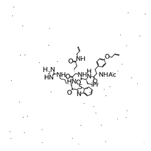 C=CCNC(=O)CC[C@H](NC(=O)[C@H](CC(C)C)NC(=O)[C@H](Cc1ccc(OCC=C)cc1)NC(C)=O)C(=O)N[C@@H](CCCNC(=N)N)C(=O)c1nc2ccccc2s1